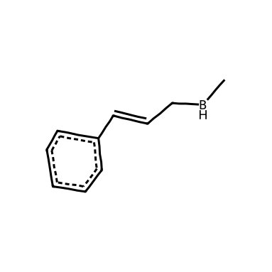 CBC/C=C/c1ccccc1